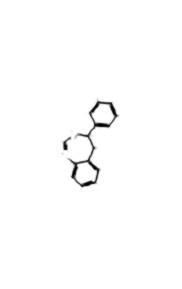 C1=Nc2ccccc2CC(c2ccccc2)N1